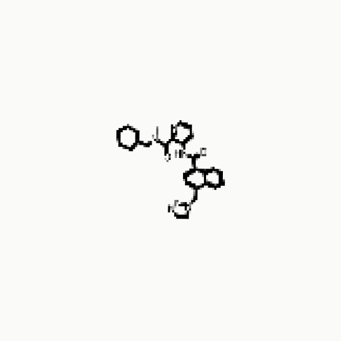 O=C(NCC1CCCCC1)c1ncccc1NC(=O)c1ccc(Cn2ccnn2)c2ccccc12